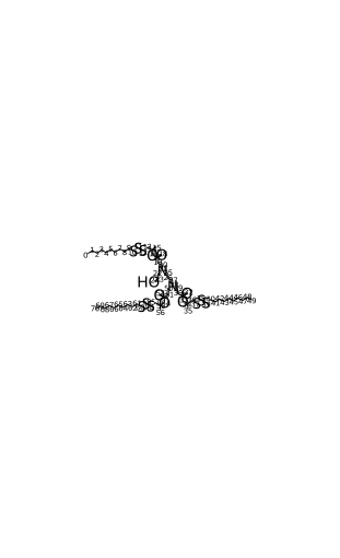 CCCCCCCCCCSSSCC(C)OC(=O)CCN(CCO)CCCN(CCC(=O)OC(C)CSSSCCCCCCCCCC)CCC(=O)OC(C)CSSSCCCCCCCCCC